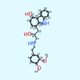 COc1ccc(CCNCC(O)Cc2ccc(O)c3c2[nH]c2ccccc23)cc1OC